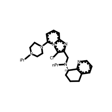 CCCN(Cc1nc2cccc(N3CCN(C(C)C)CC3)n2c1Cl)[C@H]1CCCc2cccnc21